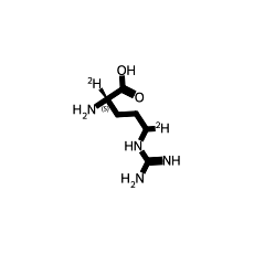 [2H]C(CC[C@]([2H])(N)C(=O)O)NC(=N)N